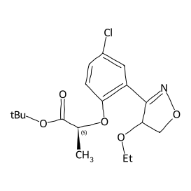 CCOC1CON=C1c1cc(Cl)ccc1O[C@@H](C)C(=O)OC(C)(C)C